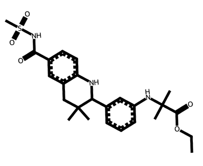 CCOC(=O)C(C)(C)Nc1cccc(C2Nc3ccc(C(=O)NS(C)(=O)=O)cc3CC2(C)C)c1